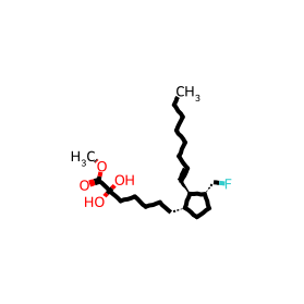 CCCCCCC=C[C@@H]1[C@@H](CCCCCC(O)(O)C(=O)OC)CC[C@H]1CF